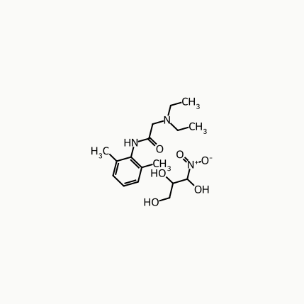 CCN(CC)CC(=O)Nc1c(C)cccc1C.O=[N+]([O-])C(O)C(O)CO